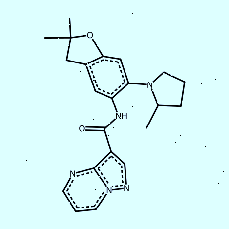 CC1CCCN1c1cc2c(cc1NC(=O)c1cnn3cccnc13)CC(C)(C)O2